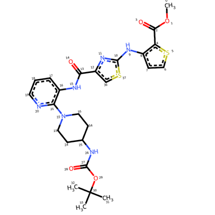 COC(=O)c1sccc1Nc1nc(C(=O)Nc2cccnc2N2CCC(NC(=O)OC(C)(C)C)CC2)cs1